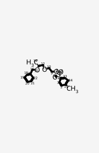 Cc1ccc(S(=O)(=O)OCCOC[C@H](C)OCc2ccccc2)cc1